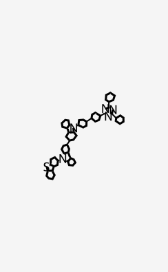 c1ccc(-c2nc(-c3ccccc3)nc(-c3ccc(-c4ccc(-n5c6ccccc6c6cc(-c7ccc8c(c7)c7ccccc7n8-c7ccc8sc9ccccc9c8c7)ccc65)cc4)cc3)n2)cc1